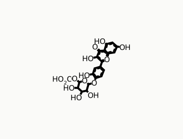 O=C(O)OC1OC(Oc2ccc(-c3oc4cc(O)cc(O)c4c(=O)c3O)cc2O)C(O)C(O)C1O